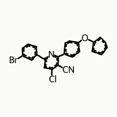 N#Cc1c(Cl)cc(-c2cccc(Br)c2)nc1-c1ccc(Oc2ccccc2)cc1